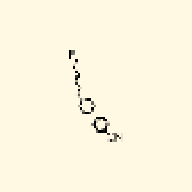 N#Cc1ccc([C@H]2CC[C@H](CC/C=C/CCF)CC2)cc1